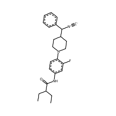 [C-]#[N+]C(c1ccccc1)C1CCN(c2ccc(NC(=O)C(CC)CC)cc2F)CC1